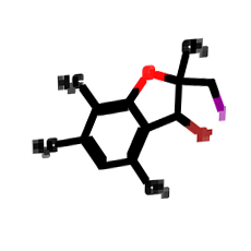 Cc1cc(C)c2c(c1C)OC(C)(CI)C2Br